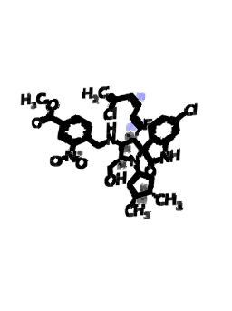 C=C(Cl)/C=C\C=C(/F)[C@H]1[C@H](NCc2ccc(C(=O)OC)cc2[N+](=O)[O-])[C@H](CO)N(C2C[C@H](C)[C@@H](C)C2)[C@@]12C(=O)Nc1cc(Cl)ccc12